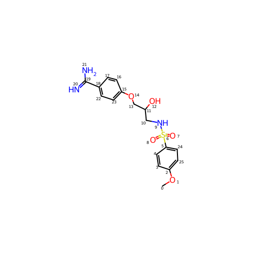 COc1ccc(S(=O)(=O)NCC(O)COc2ccc(C(=N)N)cc2)cc1